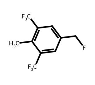 Cc1c(C(F)(F)F)cc(CF)cc1C(F)(F)F